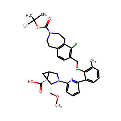 COC[C@H]1N(c2cccc(-c3cccc(C)c3OCc3ccc4c(c3F)CCN(C(=O)OC(C)(C)C)CC4)n2)CC2C[C@@]21C(=O)O